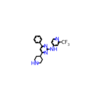 FC(F)(F)c1cc(Nc2nc(-c3ccccc3)cc(C3CCNCC3)n2)ccn1